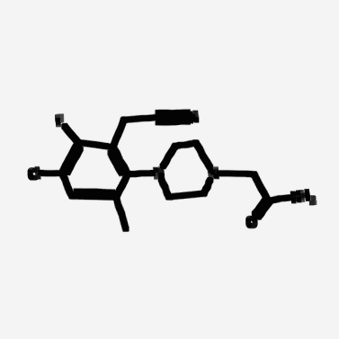 Cc1cc(Cl)c(F)c(CC#N)c1N1CCN(CC(N)=O)CC1